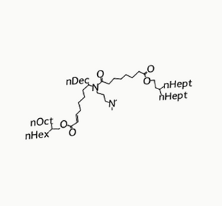 CCCCCCCCCCC(CCCCC=CC(=O)OCC(CCCCCC)CCCCCCCC)N(CCCN(C)C)C(=O)CCCCCCC(=O)OCCC(CCCCCCC)CCCCCCC